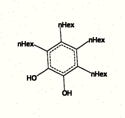 CCCCCCc1c(O)c(O)c(CCCCCC)c(CCCCCC)c1CCCCCC